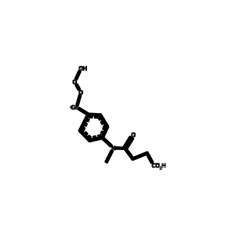 CN(C(=O)CCC(=O)O)c1cc[c]([Ge][O]OO)cc1